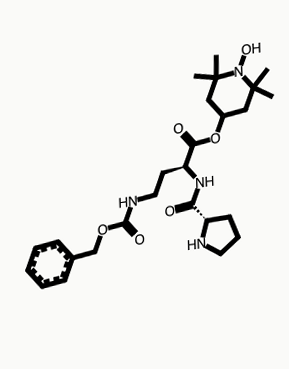 CC1(C)CC(OC(=O)[C@H](CCNC(=O)OCc2ccccc2)NC(=O)[C@@H]2CCCN2)CC(C)(C)N1O